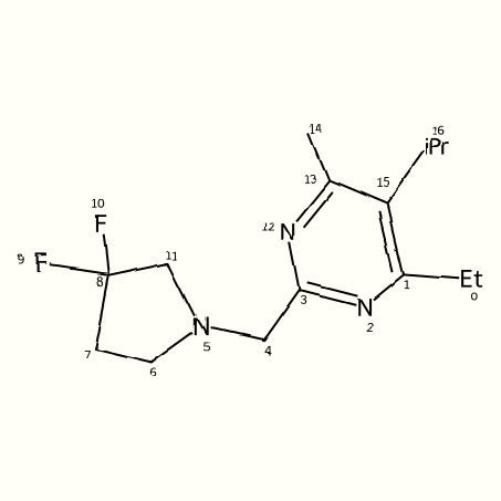 CCc1nc(CN2CCC(F)(F)C2)nc(C)c1C(C)C